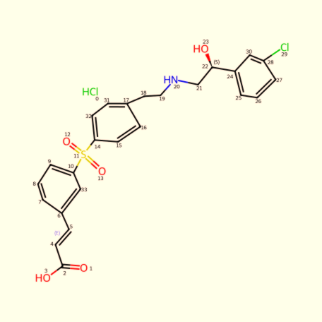 Cl.O=C(O)/C=C/c1cccc(S(=O)(=O)c2ccc(CCNC[C@@H](O)c3cccc(Cl)c3)cc2)c1